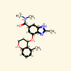 Cc1nc2c(OC3CCOc4cccc(C)c43)cc(C(=O)N(C)C)cc2[nH]1